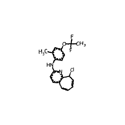 Cc1cc(OC(C)(F)F)ccc1Nc1ccc2c(n1)C(Cl)C=CC=C2